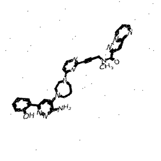 CN(CC#Cc1nccc(N2CCCN(c3cc(-c4ccccc4O)nnc3N)CC2)n1)C(=O)c1cc2ncccn2n1